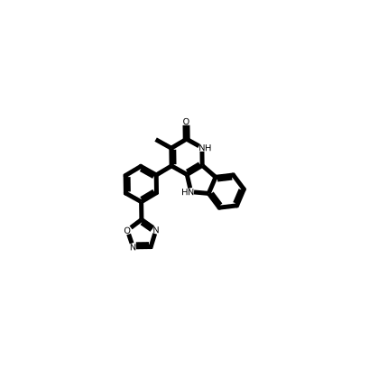 Cc1c(-c2cccc(-c3ncno3)c2)c2[nH]c3ccccc3c2[nH]c1=O